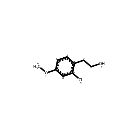 COc1ccc(CCO)c(Cl)c1